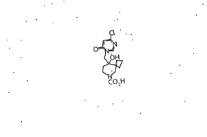 O=C(O)N1CCC(O)(Cn2cnc(Cl)cc2=O)C2(CCC2)C1